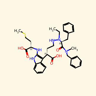 CCN(NCC[C@H](C(=O)O)c1c(N[C@@H](CCSC)C(=O)O)[nH]c2ccccc12)[C@@H](Cc1ccccc1)C(=O)N(C)Cc1ccccc1